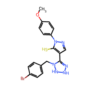 COc1ccc(-n2ncc(C3=NNNN3Cc3ccc(Br)cc3)c2S)cc1